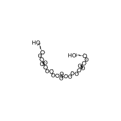 CC(C)(O)C#Cc1cccc(Oc2ccc(S(=O)(=O)c3ccc(Oc4cccc(Oc5ccc(S(=O)(=O)c6ccc(Oc7cccc(Oc8ccc(S(=O)(=O)c9ccc(Oc%10cccc(C#CC(C)(C)O)c%10)cc9)cc8)c7)cc6)cc5)c4)cc3)cc2)c1